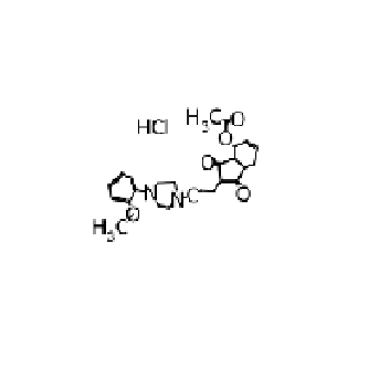 COc1ccccc1N1CCN(CCCC2C(=O)C3CC=CC(OC(C)=O)C3C2=O)CC1.Cl